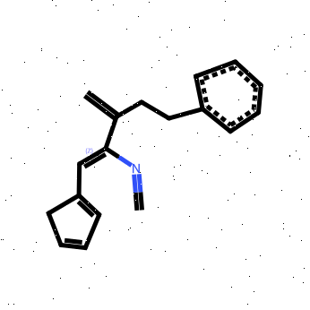 C=N/C(=C\C1=CC=CC1)C(=C)CCc1ccccc1